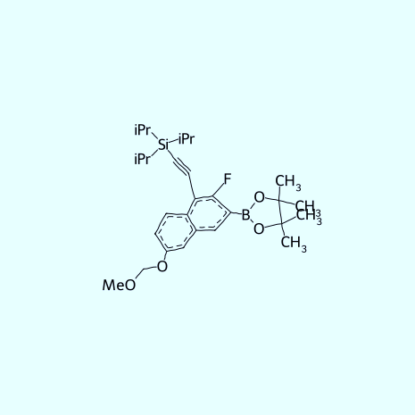 COCOc1ccc2c(C#C[Si](C(C)C)(C(C)C)C(C)C)c(F)c(B3OC(C)(C)C(C)(C)O3)cc2c1